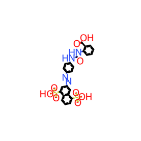 O=C(Nc1ccc(/N=N/c2cc(S(=O)(=O)O)c3cccc(S(=O)(=O)O)c3c2)cc1)Nc1ccccc1C(=O)O